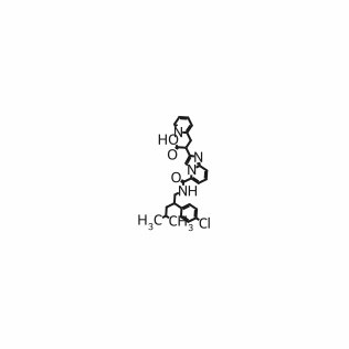 CC(C)CC(CNC(=O)c1cccc2nc(C(Cc3ccccn3)C(=O)O)cn12)c1ccc(Cl)cc1